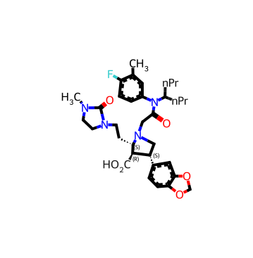 CCCC(CCC)N(C(=O)CN1C[C@H](c2ccc3c(c2)OCO3)[C@@H](C(=O)O)[C@@H]1CCN1CCN(C)C1=O)c1ccc(F)c(C)c1